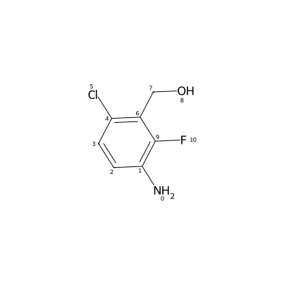 Nc1ccc(Cl)c(CO)c1F